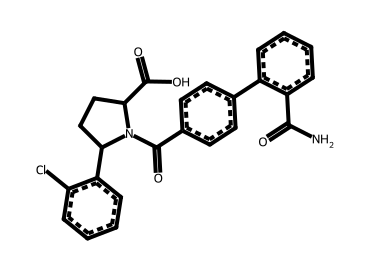 NC(=O)c1ccccc1-c1ccc(C(=O)N2C(C(=O)O)CCC2c2ccccc2Cl)cc1